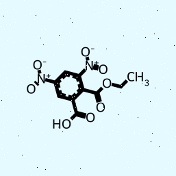 CCOC(=O)c1c(C(=O)O)cc([N+](=O)[O-])cc1[N+](=O)[O-]